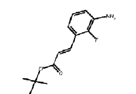 CC(C)(C)OC(=O)/C=C/c1cccc(N)c1F